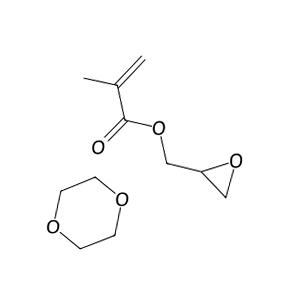 C1COCCO1.C=C(C)C(=O)OCC1CO1